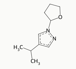 CC(C)c1cnn(C2CCCO2)c1